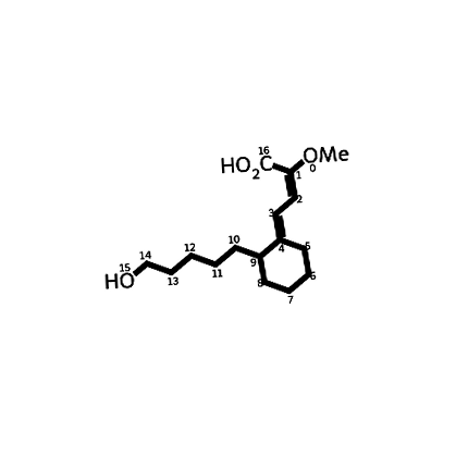 COC(=CC=C1CCCCC1CCCCCO)C(=O)O